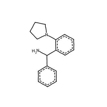 NC(c1ccccc1)c1ccccc1N1CCCC1